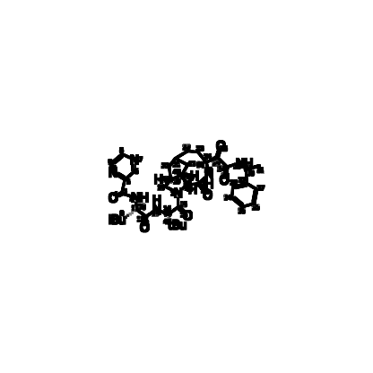 CCC(C)[C@H](NC(=O)c1cnccn1)C(=O)N[C@H](C(=O)N1C[C@@H]2CC3CC[C@@H](C(=O)C(=O)N[C@@H](C)c4ccccc4)NC(=O)[C@@H]1[C@H]2C3)C(C)(C)C